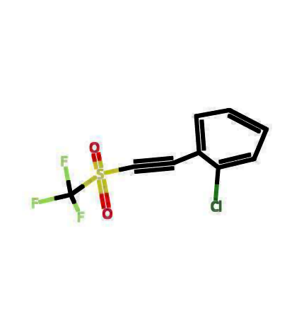 O=S(=O)(C#Cc1ccccc1Cl)C(F)(F)F